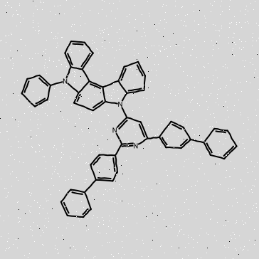 c1ccc(-c2ccc(-c3cc(-n4c5ccccc5c5c6c7ccccc7n(-c7ccccc7)c6ccc54)nc(-c4ccc(-c5ccccc5)cc4)n3)cc2)cc1